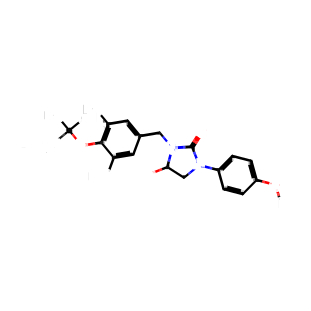 CCOC(=O)C(C)(C)Oc1c(C)cc(CN2C(=O)N(c3ccc(OCC)cc3)CC2O)cc1C